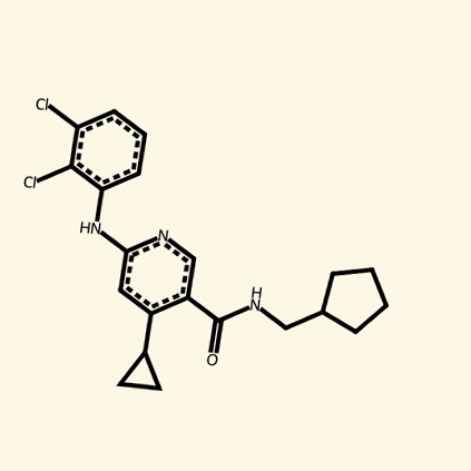 O=C(NCC1CCCC1)c1cnc(Nc2cccc(Cl)c2Cl)cc1C1CC1